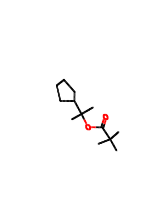 CC(C)(C)C(=O)OC(C)(C)C1CCCC1